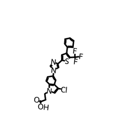 O=C(O)CCn1cc(Cl)c2cc(-n3cnc(-c4cc(-c5ccccc5)c(C(F)(F)F)s4)c3)ccc21